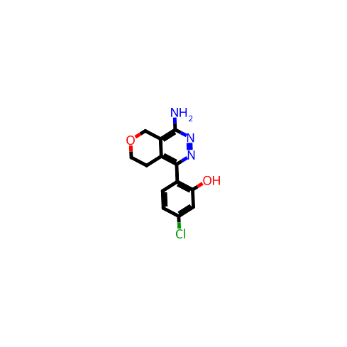 Nc1nnc(-c2ccc(Cl)cc2O)c2c1COCC2